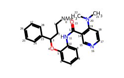 CNCCC(Oc1ccccc1NC(=O)c1cnccc1N(C)C)c1ccccc1